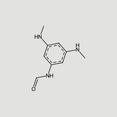 CNc1cc(NC)cc(NC=O)c1